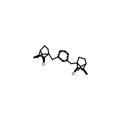 C=C1C(=O)C2(Cc3cccc(CC45CCC(C(=C)C4=O)C5(C)C)c3)CCC1C2(C)C